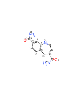 NC(=O)C1=CC=Nc2cc(C(N)=O)ccc2C1